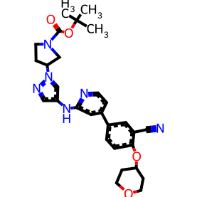 CC(C)(C)OC(=O)N1CCC(n2cc(Nc3cc(-c4ccc(OC5CCOCC5)c(C#N)c4)ccn3)cn2)C1